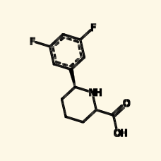 O=C(O)C1CCC[C@@H](c2cc(F)cc(F)c2)N1